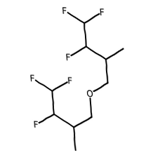 CC(COCC(C)C(F)C(F)F)C(F)C(F)F